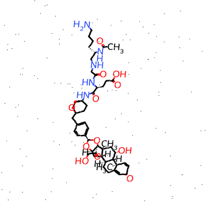 CC(=O)N[C@@H](CCCCN)CNCC(=O)N[C@@H](CCC(=O)O)C(=O)NC12CCC(Cc3ccc([C@@H]4O[C@@H]5C[C@H]6[C@@H]7CCC8=CC(=O)C=C[C@]8(C)[C@H]7[C@@H](O)C[C@]6(C)[C@]5(C(=O)CO)O4)cc3)(CC1)OC2